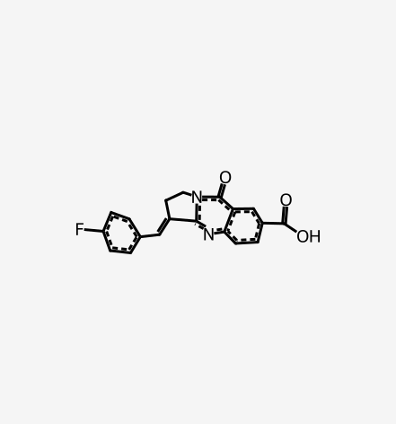 O=C(O)c1ccc2nc3n(c(=O)c2c1)CCC3=Cc1ccc(F)cc1